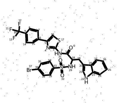 O=C(Nc1nc(-c2ccc(C(F)(F)F)cc2)cs1)C(Cc1c[nH]c2ccccc12)NS(=O)(=O)c1ccc(Br)cc1